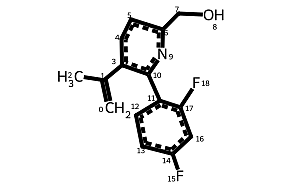 C=C(C)c1ccc(CO)nc1-c1ccc(F)cc1F